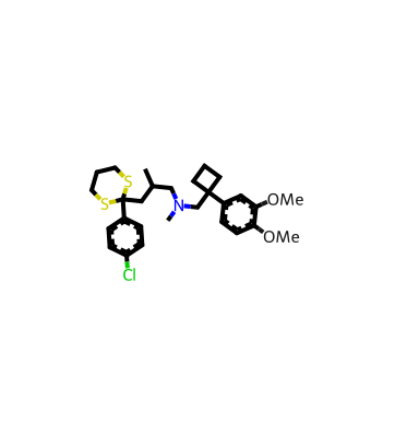 COc1ccc(C2(CN(C)CC(C)CC3(c4ccc(Cl)cc4)SCCCS3)CCC2)cc1OC